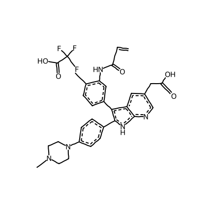 C=CC(=O)Nc1cc(-c2c(-c3ccc(N4CCN(C)CC4)cc3)[nH]c3ncc(CC(=O)O)cc23)ccc1C.O=C(O)C(F)(F)F